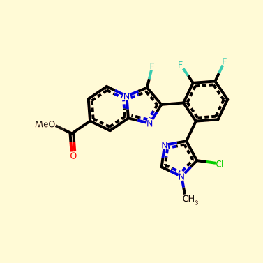 COC(=O)c1ccn2c(F)c(-c3c(-c4ncn(C)c4Cl)ccc(F)c3F)nc2c1